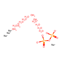 O.O.O.O.O.O.O.O.O.O.O.O.O=P([O-])([O-])OP(=O)([O-])[O-].[Na+].[Na+].[Na+].[Na+]